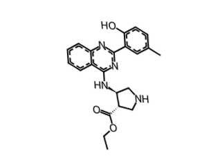 CCOC(=O)[C@H]1CNC[C@@H]1Nc1nc(-c2cc(C)ccc2O)nc2ccccc12